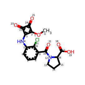 COc1c(Nc2cccc(C(=O)N3CCCC3C(=O)O)c2Cl)c(=O)c1=O